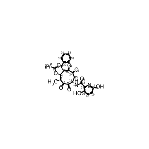 CC(C)C(=O)O[C@@H]1[C@H](C)C(=O)C(=O)[C@@H](NC(=O)c2nc(O)ccc2O)CC(=O)C(=O)[C@@H]1Cc1ccccc1